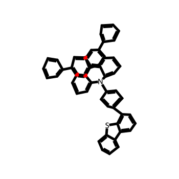 c1ccc(-c2ccc(-c3ccccc3N(c3ccc(-c4cccc5c4sc4ccccc45)cc3)c3ccccc3-c3ccc(-c4ccccc4)cc3)cc2)cc1